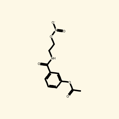 CC(=O)Oc1cccc(C(=O)NCCO[N+](=O)[O-])c1